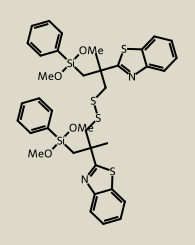 CO[Si](CC(C)(CSSCC(C)(C[Si](OC)(OC)c1ccccc1)c1nc2ccccc2s1)c1nc2ccccc2s1)(OC)c1ccccc1